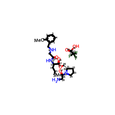 COc1ccccc1CNCC(=O)NC(CCSC)C(=O)OC[C@@H]1CCCN1C(=O)CN.O=C(O)C(F)(F)F